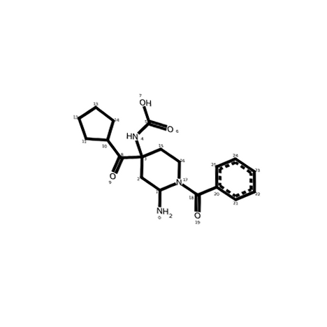 NC1CC(NC(=O)O)(C(=O)C2CCCC2)CCN1C(=O)c1ccccc1